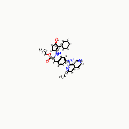 CCOC(=O)[C@H](Cc1ccc(Nc2nc(C)cc3ccncc23)cc1)NC1=C(C2CCCCC2)C(=O)CC1